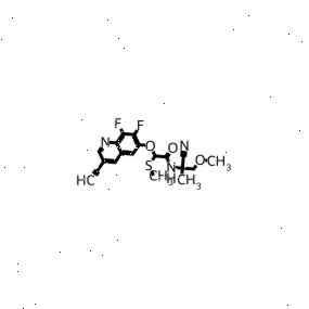 C#Cc1cnc2c(F)c(F)c(OC(SC)C(=O)NC(C)(C#N)COC)cc2c1